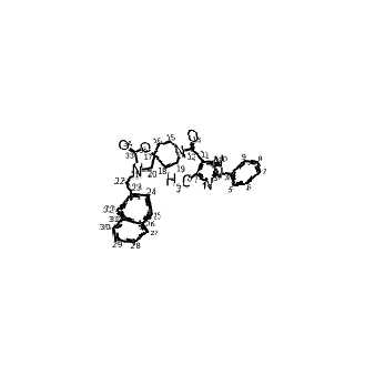 Cc1nn(-c2ccccc2)nc1C(=O)N1CCC2(CC1)CN(Cc1ccc3ccccc3c1)C(=O)O2